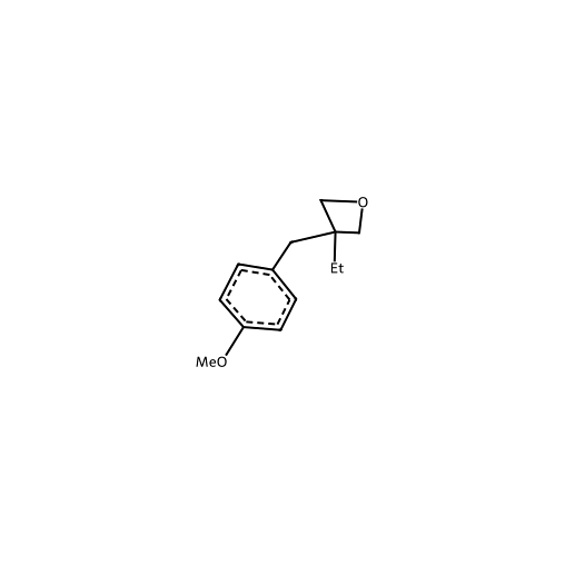 CCC1(Cc2ccc(OC)cc2)COC1